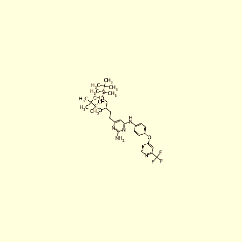 CC(C)(C)[Si](C)(C)OCC(CCc1cc(Nc2ccc(Oc3ccnc(C(F)(F)F)c3)cc2)nc(N)n1)O[Si](C)(C)C(C)(C)C